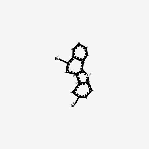 Brc1ccc2oc3c4ccccc4c(Br)cc3c2c1